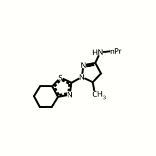 CCCNC1=NN(c2nc3c(s2)CCCC3)C(C)C1